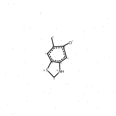 Cc1cc2c(cc1Cl)NCS2